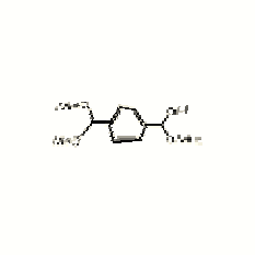 COC(O)c1ccc(C(OC)OC)cc1